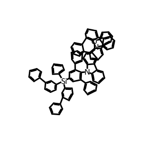 c1ccc(-c2cccc([Si](c3ccccc3)(c3cccc(-c4ccccc4)c3)c3cc(-c4ccccc4)c(-n4c5ccccc5c5cc(-n6c7ccccc7c7cccc(-c8ccccc8-c8cccc9c8oc8ccccc89)c76)ccc54)c(-c4ccccc4)c3)c2)cc1